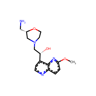 COc1ccc2nccc([C@@H](O)CN3CCO[C@@H](CN)C3)c2n1